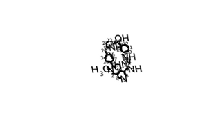 CN(Cc1cncc(C(=N)NN=N)c1)C(=O)c1ccc(C[C@@H]2CC[C@H]([C@H](O)c3ccccc3)N2)cc1